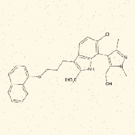 CCOC(=O)c1[nH]c2c(-c3c(C)nn(C)c3CO)c(Cl)ccc2c1CCCOc1cccc2ccccc12